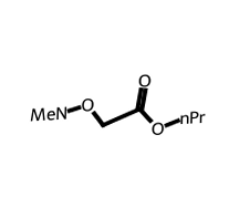 CCCOC(=O)CONC